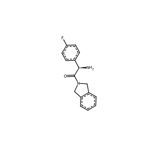 N[C@@H](C(=O)N1Cc2ccccc2C1)c1ccc(F)cc1